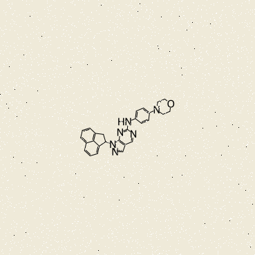 c1cc2c3c(cccc3c1)C(n1ncc3cnc(Nc4ccc(N5CCOCC5)cc4)nc31)C2